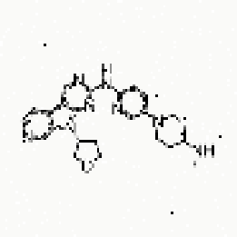 CNC1CCN(c2ccc(Nc3ncc4c5ccncc5n([C@@H]5CCOC5)c4n3)nc2)CC1